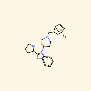 C1=C[C@@H]2CC1C(CN1CCC(n3c(C4CCCN4)nc4ccccc43)CC1)C2